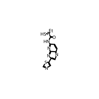 CCN(S)C(=O)Nc1ccc2ncc(-c3cncs3)nc2n1